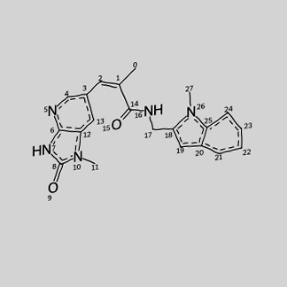 CC(=Cc1cnc2[nH]c(=O)n(C)c2c1)C(=O)NCc1cc2ccccc2n1C